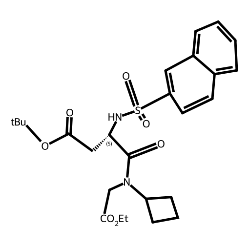 CCOC(=O)CN(C(=O)[C@H](CC(=O)OC(C)(C)C)NS(=O)(=O)c1ccc2ccccc2c1)C1CCC1